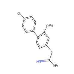 CCCC(=N)Cc1ccc(-c2ccc(Cl)cc2)c(OC)c1